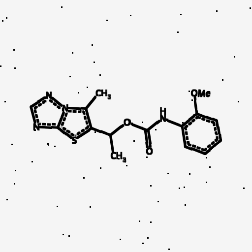 COc1ccccc1NC(=O)OC(C)c1sc2ncnn2c1C